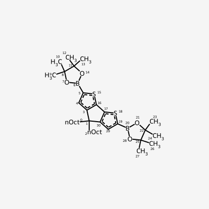 CCCCCCCCC1(CCCCCCCC)c2cc(B3OC(C)(C)C(C)(C)O3)sc2-c2sc(B3OC(C)(C)C(C)(C)O3)cc21